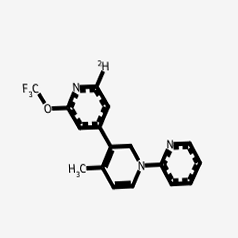 [2H]c1cc(C2=C(C)C=CN(c3ccccn3)C2)cc(OC(F)(F)F)n1